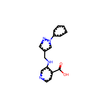 O=C(O)c1ccncc1NCc1cnn(-c2ccccc2)c1